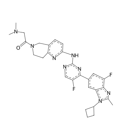 Cc1nc2c(F)cc(-c3nc(Nc4ccc5c(n4)CCN(C(=O)CN(C)C)C5)ncc3F)cc2n1C1CCC1